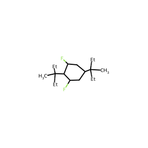 CCC(C)(CC)C1CC(F)C(C(C)(CC)CC)C(F)C1